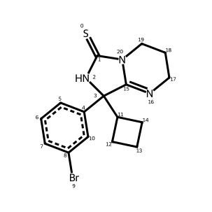 S=C1NC(c2cccc(Br)c2)(C2CCC2)C2=NCCCN12